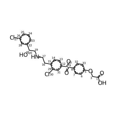 O=C(O)COc1ccc(S(=O)(=O)c2ccc(CCNC[C@H](O)c3cccc(Cl)c3)c(Cl)c2)cc1